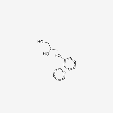 CC(O)CO.Oc1ccccc1.c1ccccc1